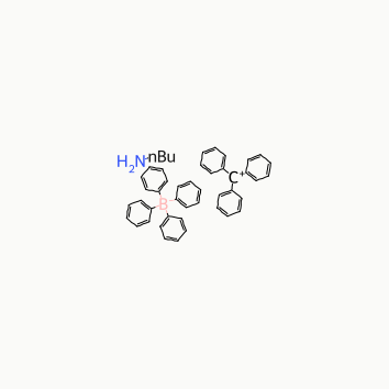 CCCCN.c1ccc([B-](c2ccccc2)(c2ccccc2)c2ccccc2)cc1.c1ccc([C+](c2ccccc2)c2ccccc2)cc1